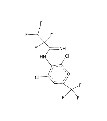 N=C(Nc1c(Cl)cc(C(F)(F)F)cc1Cl)C(F)(F)C(F)F